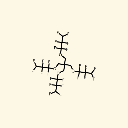 FC(F)C(F)(F)C(F)(F)OCC(COC(F)(F)C(F)(F)C(F)F)(COC(F)(F)C(F)(F)C(F)F)COC(F)(F)C(F)(F)C(F)F